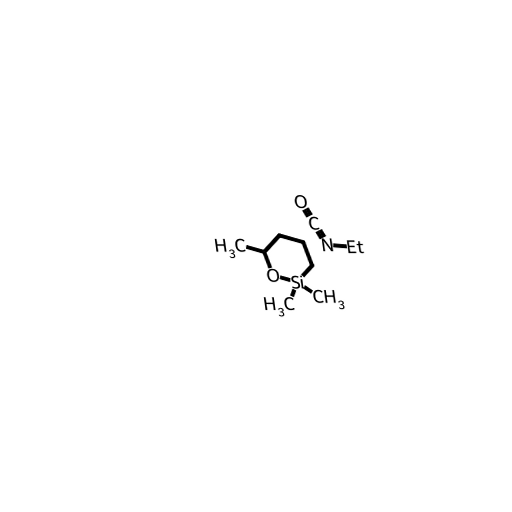 CC1CCC[Si](C)(C)O1.CCN=C=O